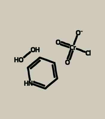 OO.[O]=[Cr](=[O])([O-])[Cl].c1cc[nH+]cc1